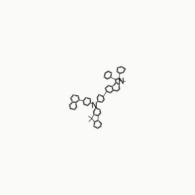 Cn1c(-c2ccccc2)c(-c2ccccc2)c2c3ccc(-c4ccc(N(c5ccc(-c6cccc7ccccc67)cc5)c5ccc6c(c5)C(C)(C)c5ccccc5-6)cc4)cc3ccc21